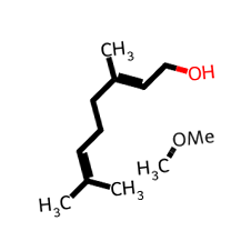 CC(C)=CCCC(C)=CCO.COC